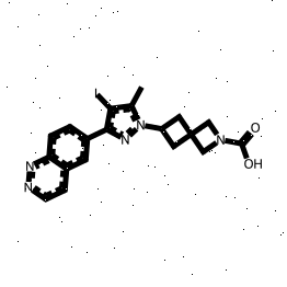 Cc1c(I)c(-c2ccc3nnccc3c2)nn1C1CC2(C1)CN(C(=O)O)C2